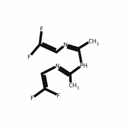 CC(=NC=C(F)F)PC(C)=NC=C(F)F